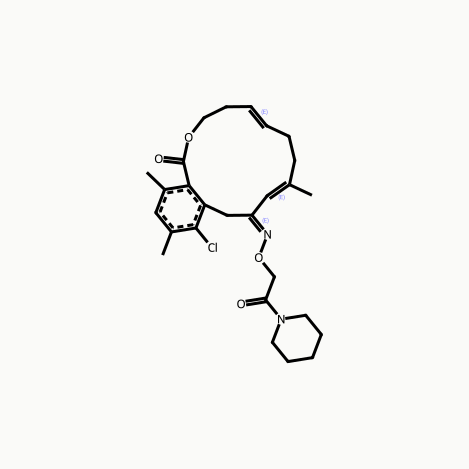 C/C1=C\C(=N\OCC(=O)N2CCCCC2)Cc2c(Cl)c(C)cc(C)c2C(=O)OCC/C=C/CC1